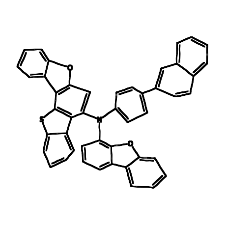 c1ccc2cc(-c3ccc(N(c4cccc5c4oc4ccccc45)c4cc5oc6ccccc6c5c5sc6ccccc6c45)cc3)ccc2c1